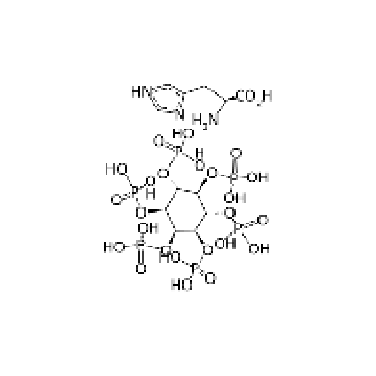 N[C@@H](Cc1c[nH]cn1)C(=O)O.O=P(O)(O)O[C@H]1[C@H](OP(=O)(O)O)[C@@H](OP(=O)(O)O)[C@H](OP(=O)(O)O)[C@@H](OP(=O)(O)O)[C@H]1OP(=O)(O)O